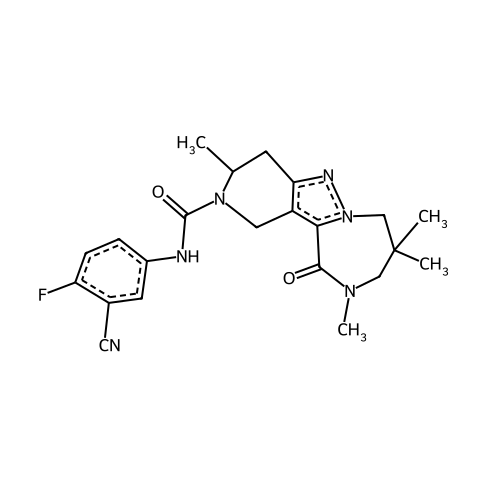 CC1Cc2nn3c(c2CN1C(=O)Nc1ccc(F)c(C#N)c1)C(=O)N(C)CC(C)(C)C3